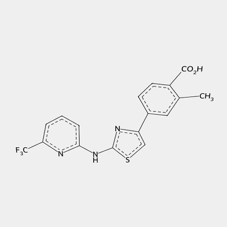 Cc1cc(-c2csc(Nc3cccc(C(F)(F)F)n3)n2)ccc1C(=O)O